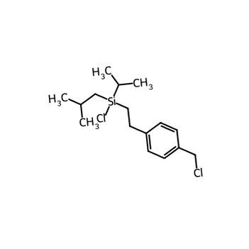 CC(C)C[Si](Cl)(CCc1ccc(CCl)cc1)C(C)C